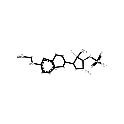 CC[C@@]1(C)C(C2CCc3cc(OCOC)ccc3C2)C[C@@H]([18F])[C@@H]1OS(C)(=O)=O